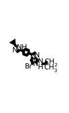 C=C(C)CNc1nc(Br)cn2c(-c3ccc(-c4cnc(C5CC5)[nH]4)cc3)cnc12